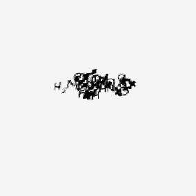 CCC1C[C@@]1(NC(=O)[C@@H]1[C@@H]2[C@H](CN1C(=O)[C@@H](NC(=O)N[C@H](CN1C(=O)CC(C)(C)CC1=O)C(C)(C)C)C(C)(C)C)C2(C)C)C(=O)C(N)=O